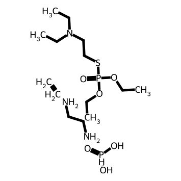 C=C.CCOP(=O)(OCC)SCCN(CC)CC.NCCN.O=[PH](O)O